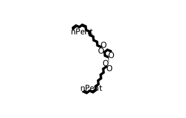 CCCCC/C=C\C/C=C\CCCCCCCC(=O)OC[C@@H]1C[C@H](OC(=O)CCCCCCC/C=C\C/C=C\CCCCC)CCO1